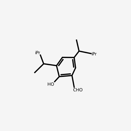 CC(C)C(C)c1cc(C=O)c(O)c(C(C)C(C)C)c1